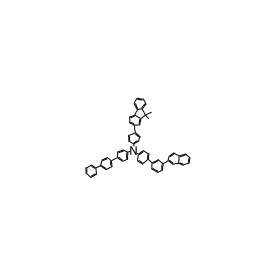 CC1(C)c2ccccc2-c2ccc(-c3ccc(N(c4ccc(-c5ccc(-c6ccccc6)cc5)cc4)c4ccc(-c5cccc(-c6ccc7ccccc7c6)c5)cc4)cc3)cc21